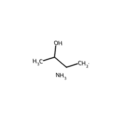 N.[CH2]CC(C)O